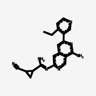 CCc1ccncc1-c1cc2cc(N=C(N)C3CC3C#N)ncc2c(N)n1